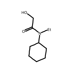 CCN(C(=O)CO)C1CCCCC1